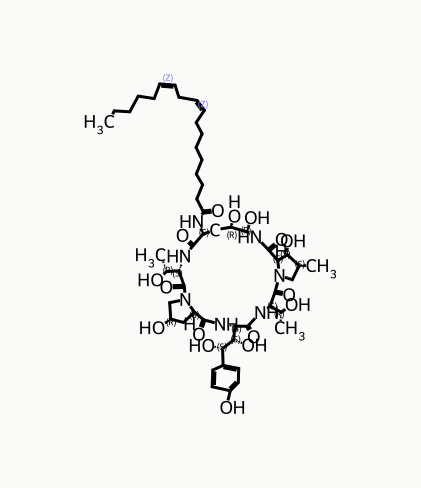 CCCCC/C=C\C/C=C\CCCCCCCC(=O)N[C@H]1C[C@@H](O)[C@@H](O)NC(=O)[C@@H]2[C@@H](O)[C@@H](C)CN2C(=O)[C@H]([C@@H](C)O)NC(=O)[C@H]([C@H](O)[C@@H](O)c2ccc(O)cc2)NC(=O)[C@@H]2C[C@@H](O)CN2C(=O)[C@H]([C@@H](C)O)NC1=O